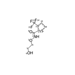 O=C(NOCCO)c1sccc1C(F)(F)F